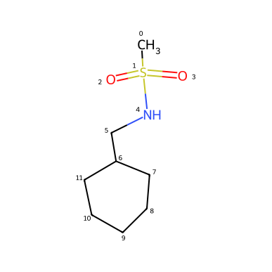 CS(=O)(=O)NCC1CCCCC1